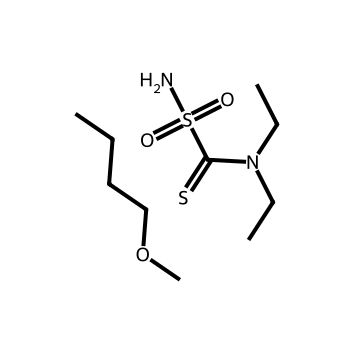 CCCCOC.CCN(CC)C(=S)S(N)(=O)=O